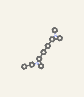 c1ccc(-c2ccc(-n3c4ccccc4c4cc(-c5ccc(-c6ccc(-c7ccc8c(c7)c7ccccc7n8-c7ccccc7)cc6)cc5)ccc43)cc2)cc1